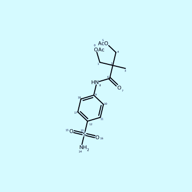 CC(=O)OCC(C)(COC(C)=O)C(=O)Nc1ccc(S(N)(=O)=O)cc1